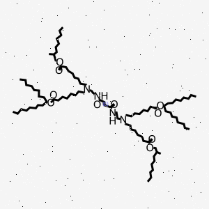 CCCCCCCCC(CCCCCCCC)OC(=O)CCCCCCCN(CCCCCCCC(=O)OCC(C)CCCCCCC)CCNC(=O)/C=C/C(=O)NCCN(CCCCCCCC(=O)OCC(C)CCCCCCC)CCCCCCCC(=O)OC(CCCCCCCC)CCCCCCCC